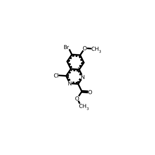 COC(=O)c1nc(Cl)c2cc(Br)c(OC)cc2n1